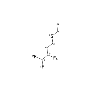 CCSCCC(F)C(F)F